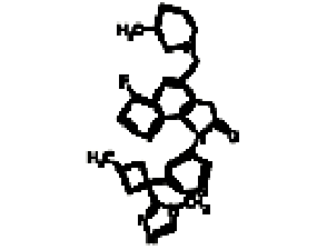 CC1CC(c2cncc(N3C(=O)Cc4c(CN5CCC[C@H](C)C5)cc5c(F)cccc5c43)c2)(c2nncn2C)C1